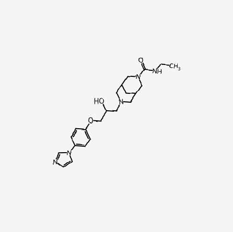 CCNC(=O)N1CC2CC(CN(CC(O)COc3ccc(-n4ccnc4)cc3)C2)C1